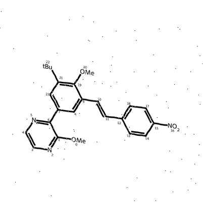 COc1nccnc1-c1cc(C=Cc2ccc([N+](=O)[O-])cc2)c(OC)c(C(C)(C)C)c1